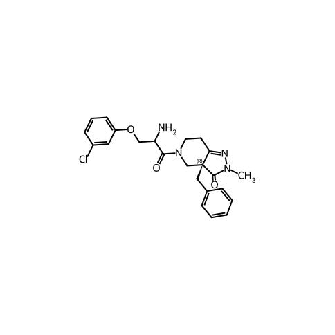 CN1N=C2CCN(C(=O)C(N)COc3cccc(Cl)c3)C[C@@]2(Cc2ccccc2)C1=O